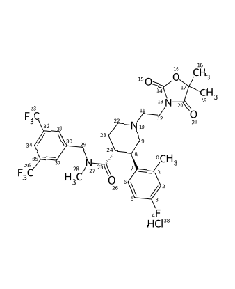 Cc1cc(F)ccc1[C@@H]1CN(CCN2C(=O)OC(C)(C)C2=O)CC[C@H]1C(=O)N(C)Cc1cc(C(F)(F)F)cc(C(F)(F)F)c1.Cl